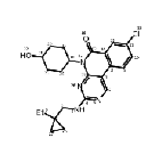 CCC1(CNc2ncc3c4ccc(Cl)cc4c(=O)n(C4CCC(O)CC4)c3n2)CC1